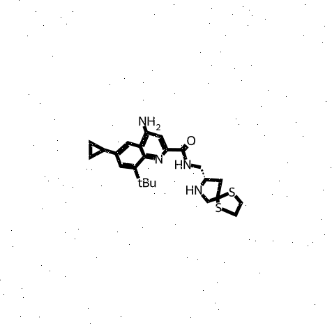 CC(C)(C)c1cc(C2CC2)cc2c(N)cc(C(=O)NC[C@@H]3CC4(CN3)SCCS4)nc12